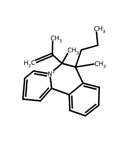 C=C(C)C1(C)[n+]2ccccc2-c2ccccc2C1(C)CCC